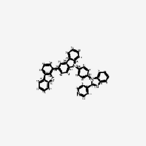 c1ccc2c(c1)nc(-c1ccncc1)n2-c1ccc(-n2c3ccccc3c3cc(-c4cccc5c4sc4ccccc45)ccc32)cc1